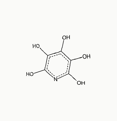 Oc1nc(O)c(O)c(O)c1O